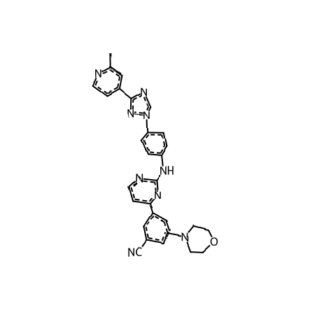 Cc1cc(-c2ncn(-c3ccc(Nc4nccc(-c5cc(C#N)cc(N6CCOCC6)c5)n4)cc3)n2)ccn1